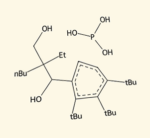 CCCCC(CC)(CO)C(O)c1ccc(C(C)(C)C)c(C(C)(C)C)c1C(C)(C)C.OP(O)O